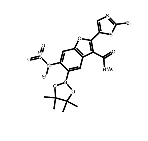 CCc1ncc(-c2oc3cc(N(CC)[SH](=O)=O)c(B4OC(C)(C)C(C)(C)O4)cc3c2C(=O)NC)s1